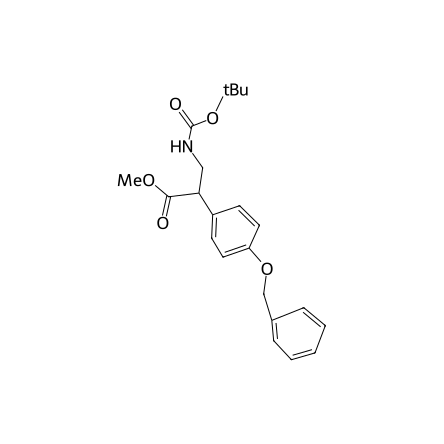 COC(=O)C(CNC(=O)OC(C)(C)C)c1ccc(OCc2ccccc2)cc1